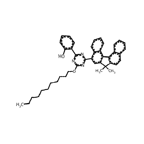 CCCCCCCCCCCOc1nc(-c2ccccc2O)nc(-c2cc3c(c4ccccc24)-c2c(ccc4ccccc24)C3(C)C)n1